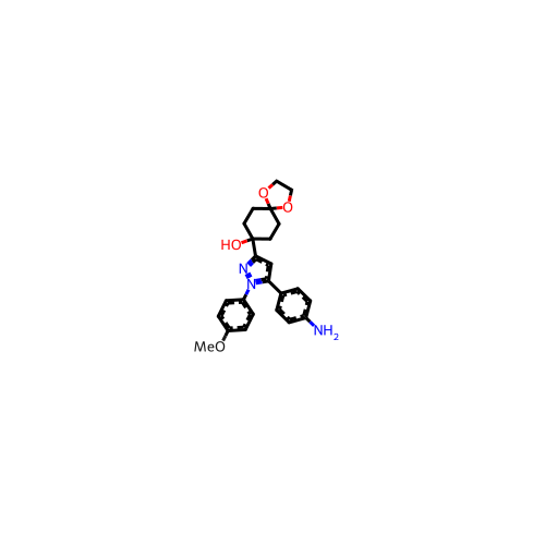 COc1ccc(-n2nc(C3(O)CCC4(CC3)OCCO4)cc2-c2ccc(N)cc2)cc1